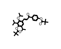 CC(C)Oc1c(C=CC(=O)c2ccc(OC(=O)C(C)(C)C)cc2)cc(C(C)C)c(OC(=O)C(C)(C)C)c1C(C)C